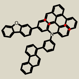 c1ccc(-c2cccc3cccc(-c4ccccc4N(c4cccc(-c5ccc6c(c5)oc5ccccc56)c4)c4cccc(-c5cccc6c5ccc5ccccc56)c4)c23)cc1